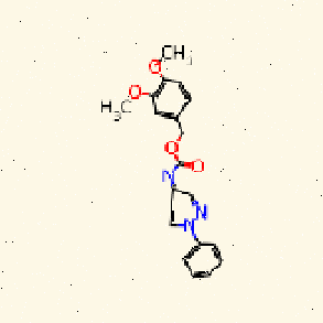 COc1ccc(COC(=O)N=c2ccn(-c3ccccc3)nc2)cc1OC